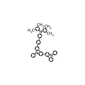 Cc1cc(C)cc(N(c2ccc(-c3ccc(-c4ccc5c(c4)c4cc(-c6ccc7c(c6)c6ccccc6n7-c6ccccc6)ccc4n5-c4ccccc4)cc3)cc2)c2cc(C)cc(C)c2)c1